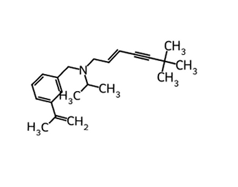 C=C(C)c1cccc(CN(CC=CC#CC(C)(C)C)C(C)C)c1